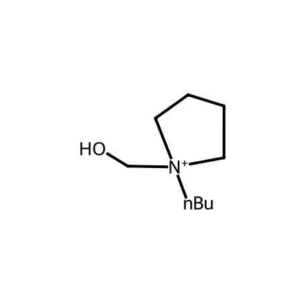 CCCC[N+]1(CO)CCCC1